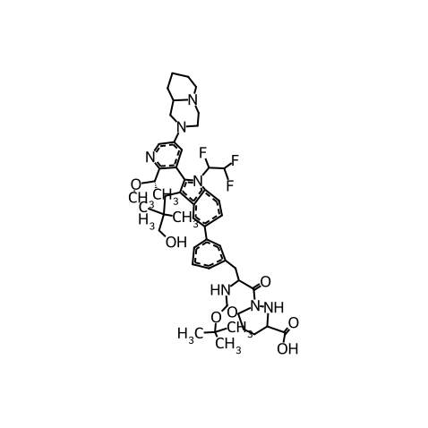 CO[C@@H](C)c1ncc(N2CCN3CCCCC3C2)cc1-c1c(CC(C)(C)CO)c2cc(-c3cccc(CC(NC(=O)OC(C)(C)C)C(=O)N4CCCC(C(=O)O)N4)c3)ccc2n1C(F)C(F)F